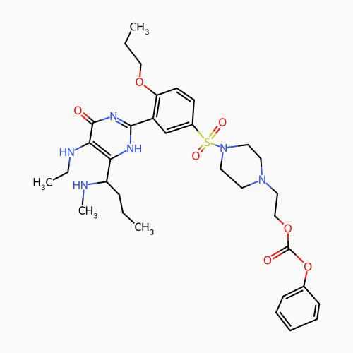 CCCOc1ccc(S(=O)(=O)N2CCN(CCOC(=O)Oc3ccccc3)CC2)cc1-c1nc(=O)c(NCC)c(C(CCC)NC)[nH]1